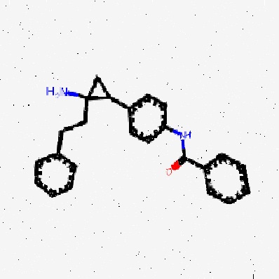 NC1(CCc2ccccc2)CC1c1ccc(NC(=O)c2ccccc2)cc1